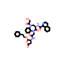 O=C(CN1C(=O)[C@@H](NC(=O)c2nccc3ccccc23)CN(C(=O)CO)c2ccccc21)N[C@H]1CC(=O)O[C@H]1OCCc1ccccc1